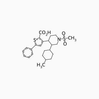 CC1CCC(C2CN(S(C)(=O)=O)CCC2c2cc(-c3ccccc3)sc2C(=O)O)CC1